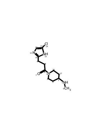 CNC1CCN(C(=O)CCc2ncc(Cl)[nH]2)CC1